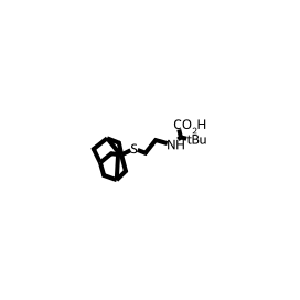 CC(C)(C)C(NCCSC12CC3CC(CC(C3)C1)C2)C(=O)O